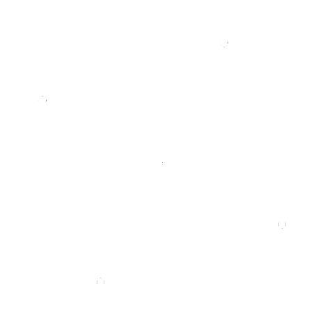 CCOc1ccc(C(c2ccc(OCC)cc2)(c2ccc(OCC)cc2)c2ccc(OCC)cc2)cc1